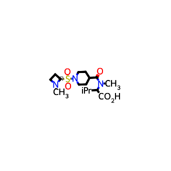 CC(C)C(C(=O)O)N(C)C(=O)C1CCN(S(=O)(=O)[C@H]2CCN2C)CC1